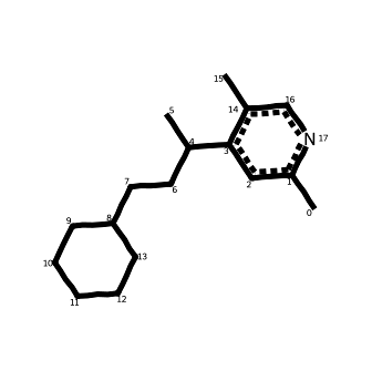 Cc1cc(C(C)CCC2CCCCC2)c(C)cn1